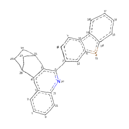 c1ccc2c3c(c(-c4ccc5c(c4)sc4ccccc45)nc2c1)C1CCC3C1